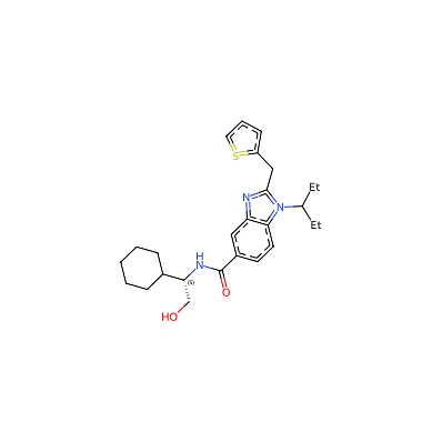 CCC(CC)n1c(Cc2cccs2)nc2cc(C(=O)N[C@H](CO)C3CCCCC3)ccc21